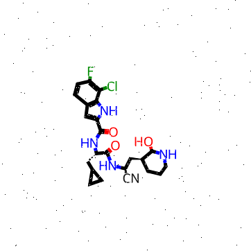 N#C[C@H](C[C@@H]1CCCNC1O)NC(=O)[C@H](CC1CC1)NC(=O)c1cc2ccc(F)c(Cl)c2[nH]1